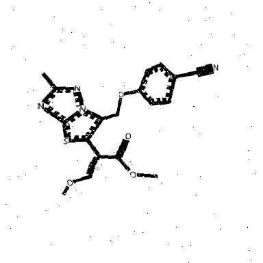 CO/C=C(/C(=O)OC)c1sc2nc(C)nn2c1COc1ccc(C#N)cc1